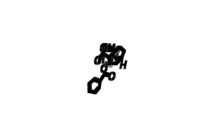 CCC12CC[C@H](C[C@H](OC(=O)c3ccccc3)C1C(=O)OC)N2C